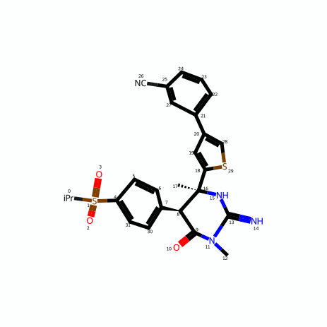 CC(C)S(=O)(=O)c1ccc([C@@H]2C(=O)N(C)C(=N)N[C@]2(C)c2cc(-c3cccc(C#N)c3)cs2)cc1